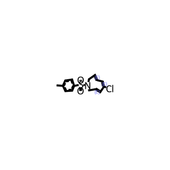 Cc1ccc(S(=O)(=O)N2C/C=C/C=C(Cl)\C=C\C2)cc1